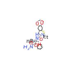 CCCCC(Cc1ccccc1)(NC(=O)C1Cc2cc3c(cc2SN1CC)OCCO3)C(O)C(N)=O